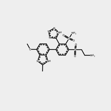 COc1ccc(-c2ccc(S(=O)(=O)CCN)c(S(N)(=O)=O)c2-c2nnn[nH]2)c2[nH]c(C)nc12